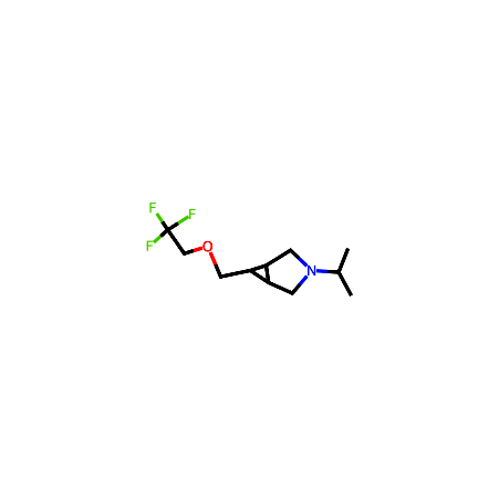 CC(C)N1CC2C(COCC(F)(F)F)C2C1